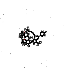 CC(=O)c1nn2c3c(cc(-c4cnc(C)nc4)cc13)CCCCCCS(=O)(=O)NC[C@@]13C[C@@H](C(=O)Nc4nc(C(F)(F)F)ccc4C)N(C(=O)C2)[C@@H]1C3